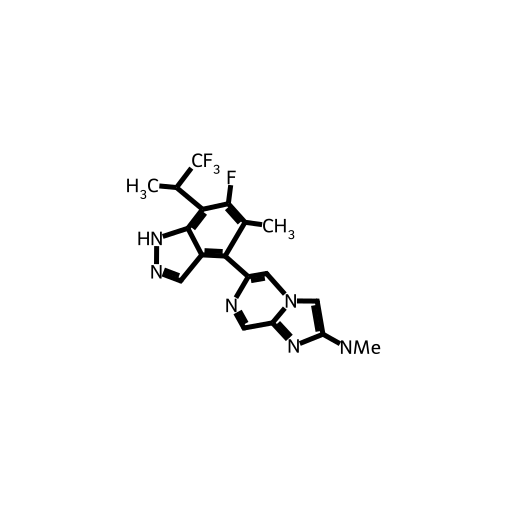 CNc1cn2cc(-c3c(C)c(F)c(C(C)C(F)(F)F)c4[nH]ncc34)ncc2n1